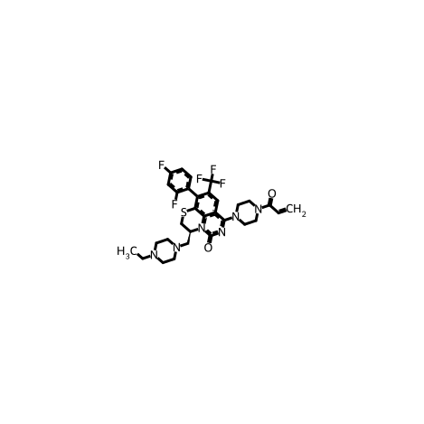 C=CC(=O)N1CCN(c2nc(=O)n3c4c(c(-c5ccc(F)cc5F)c(C(F)(F)F)cc24)SC[C@@H]3CN2CCN(CC)CC2)CC1